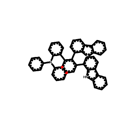 [c]1ccc(-c2ccccc2N(c2ccccc2)c2ccccc2)c(-c2cccc3c2[nH]c2ccccc23)c1-c1cccc2c1[nH]c1ccccc12